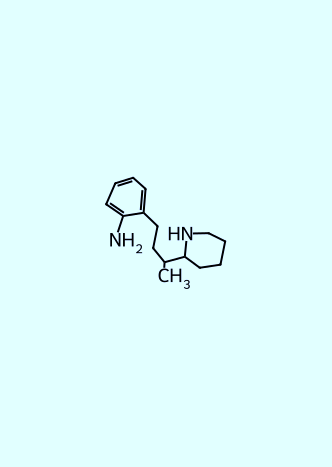 CC(CCc1ccccc1N)C1CCCCN1